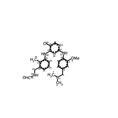 COc1cc(CN(C)C)ccc1Nc1ncc(Cl)c(Nc2cccc(CNC=O)c2C)n1